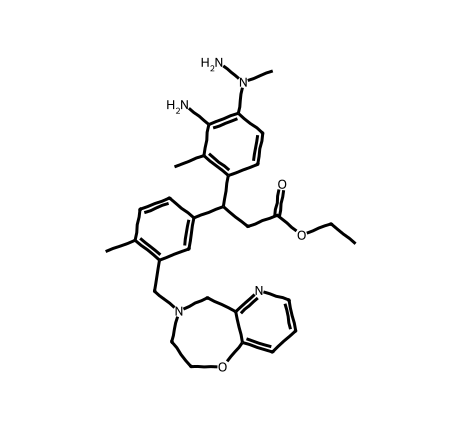 CCOC(=O)CC(c1ccc(C)c(CN2CCOc3cccnc3C2)c1)c1ccc(N(C)N)c(N)c1C